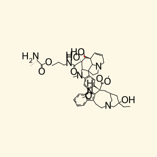 CCC1(O)CC2CN(CCc3c([nH]c4ccccc34)[C@@](C(=O)OC)(c3cc4c(cc3OC)N(C)C3C45CCN4CC=C[C@](CC)(C45)[C@@H](O)[C@]3(O)C(=O)NCCCOC(=O)[C@H](C)N)C2)C1